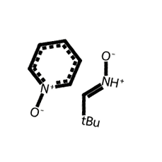 CC(C)(C)C=[NH+][O-].[O-][n+]1ccccc1